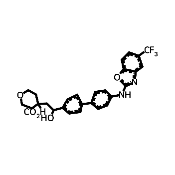 O=C(O)C1(CC(O)c2ccc(-c3ccc(Nc4nc5cc(C(F)(F)F)ccc5o4)cc3)cc2)CCOCC1